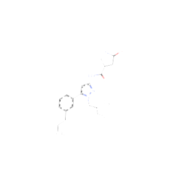 CCCc1cccc(-c2cc(NC(=O)C3CNC(=O)C3)nn2CC(C)C)c1